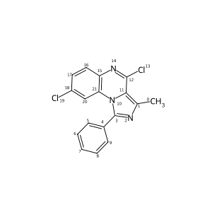 Cc1nc(-c2ccccc2)n2c1c(Cl)nc1ccc(Cl)cc12